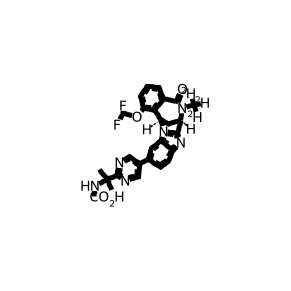 [2H]C([2H])([2H])N1C(=O)c2cccc(OC(F)F)c2[C@H]2C[C@@H]1c1nc3ccc(-c4cnc(C(C)(C)NC(=O)O)nc4)cc3n12